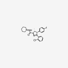 C[C@H]1C(C(=O)NN2CCCCC2)=NN(c2ccccc2Cl)[C@@H]1c1ccc(I)cc1